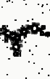 C[C@@H](CC(F)(F)F)Nc1ncc2c(-c3ccc(CN4CCN(C(=O)OC(C)(C)C)CC4)cc3)cn([C@H]3CC[C@H](O)CC3)c2n1